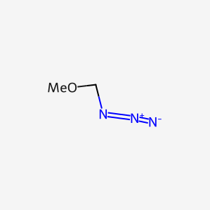 COCN=[N+]=[N-]